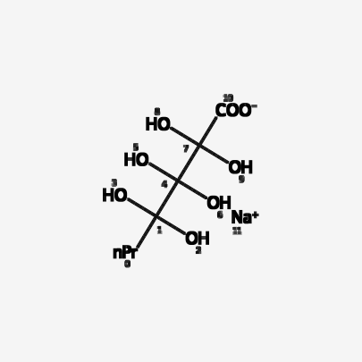 CCCC(O)(O)C(O)(O)C(O)(O)C(=O)[O-].[Na+]